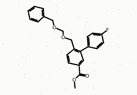 COC(=O)c1ccc(COCOCc2ccccc2)c(-c2ccc(F)cc2)c1